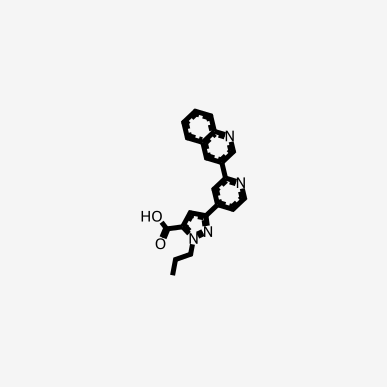 CCCn1nc(-c2ccnc(-c3cnc4ccccc4c3)c2)cc1C(=O)O